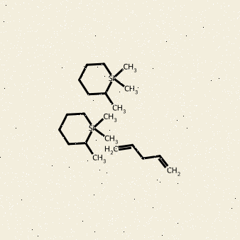 C=CCC=C.CC1CCCC[Si]1(C)C.CC1CCCC[Si]1(C)C